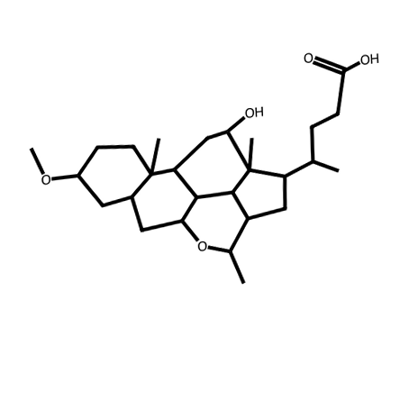 COC1CCC2(C)C(C1)CC1OC(C)C3CC(C(C)CCC(=O)O)C4(C)C(O)CC2C1C34